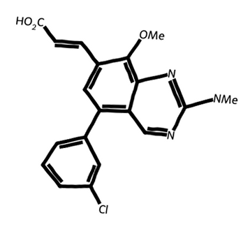 CNc1ncc2c(-c3cccc(Cl)c3)cc(/C=C/C(=O)O)c(OC)c2n1